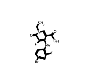 CCn1cc(C(=O)O)c(Nc2ccc(Br)cc2F)c(F)c1=O